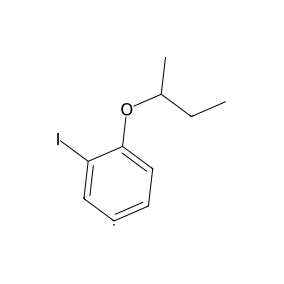 CCC(C)Oc1cc[c]cc1I